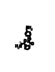 C[C@@H](N)C(=O)N1CCC[C@H]1C(=O)NCc1ccc(CN)cc1